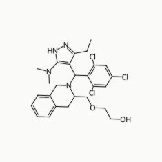 CCc1n[nH]c(N(C)C)c1C(c1c(Cl)cc(Cl)cc1Cl)N1Cc2ccccc2CC1COCCO